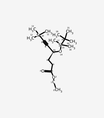 CCOC(=O)CC[C@@H](C#C[Si](C)(C)C)O[Si](C)(C)C(C)(C)C